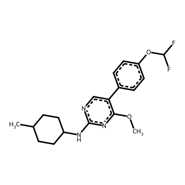 COc1nc(NC2CCC(C)CC2)ncc1-c1ccc(OC(F)F)cc1